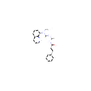 CC(=O)OCN(C(=S)NC(C)NC(=O)/C=C/c1ccccc1)c1cccc2cccnc12